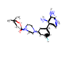 CC(C)(C)OC(=O)N1CCN(c2cc(F)cc(-c3cncc(N)c3N)c2)CC1